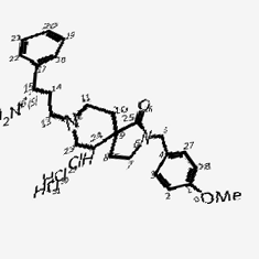 COc1ccc(CN2CCC3(CCN(CC[C@H](N)c4ccccc4)CC3)C2=O)cc1.Cl.Cl.Cl